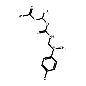 [CH2][C@H](CNC(=O)OC(C)OC(=O)C(C)C)c1ccc(Cl)cc1